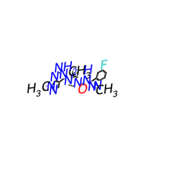 C[C@H]1CN(C(=O)Nc2nn(C)c3ccc(F)cc23)CCN1c1nc(N)nc2c1cnn2C